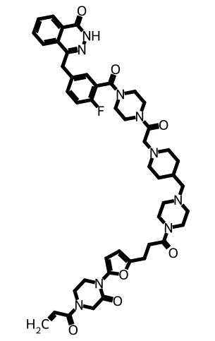 C=CC(=O)N1CCN(c2ccc(CCC(=O)N3CCN(CC4CCN(CC(=O)N5CCN(C(=O)c6cc(Cc7n[nH]c(=O)c8ccccc78)ccc6F)CC5)CC4)CC3)o2)C(=O)C1